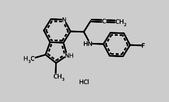 C=C=CC(Nc1ccc(F)cc1)c1nccc2c(C)c(C)[nH]c12.Cl